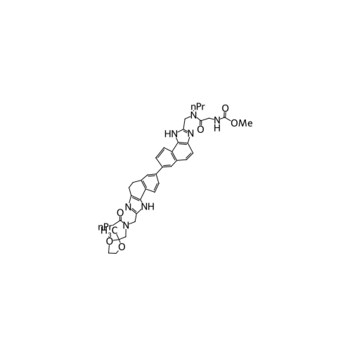 CCCC(=O)N(Cc1nc2c([nH]1)-c1ccc(-c3ccc4c(ccc5nc(CN(CCC)C(=O)CNC(=O)OC)[nH]c54)c3)cc1CC2)CC1(C)OCCO1